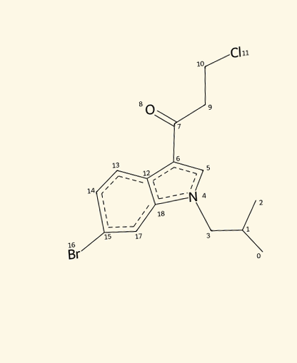 CC(C)Cn1cc(C(=O)CCCl)c2ccc(Br)cc21